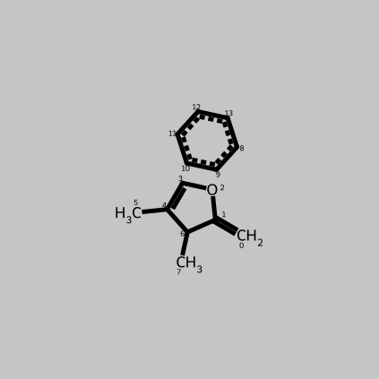 C=C1OC=C(C)C1C.c1ccccc1